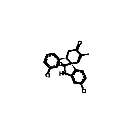 CC1=C[C@@]2(C(=O)Nc3cc(Cl)ccc32)[C@H](c2cccc(Cl)c2)CC1=O